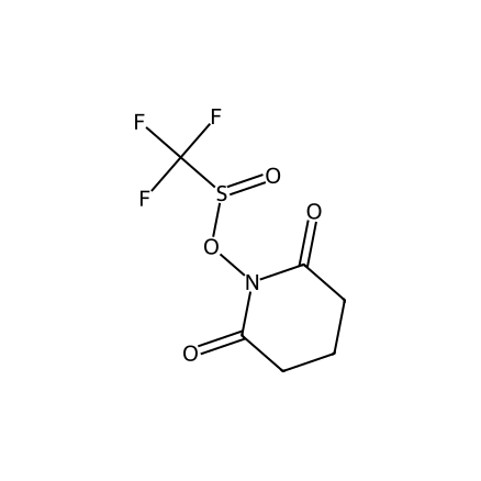 O=C1CCCC(=O)N1OS(=O)C(F)(F)F